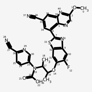 COc1cnc2c(-c3nc4cc(F)c(OC(C)C(C)N(C(=O)O)c5ccc(C#N)nc5)cc4s3)cc(C#N)cc2n1